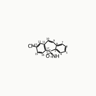 N=S1(=O)c2ccccc2C=Cc2cc(Cl)ccc21